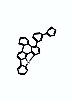 c1ccc(-c2cccc(-c3ccc4c5c3c3ccccc3c3ccc6c7ccccc7n4c6c35)c2)cc1